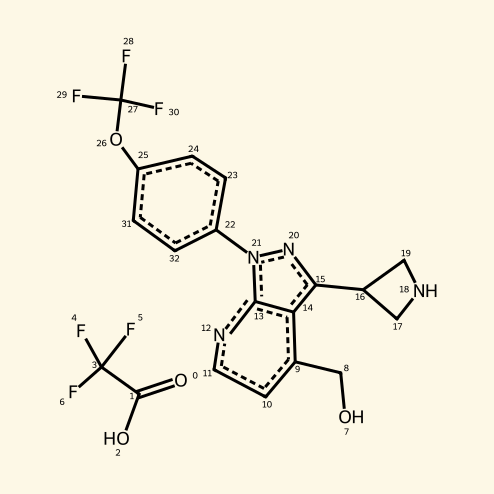 O=C(O)C(F)(F)F.OCc1ccnc2c1c(C1CNC1)nn2-c1ccc(OC(F)(F)F)cc1